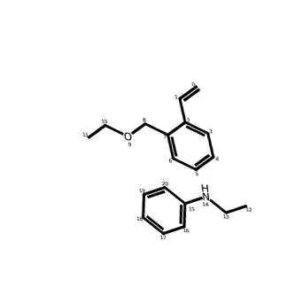 C=Cc1ccccc1COCC.CCNc1ccccc1